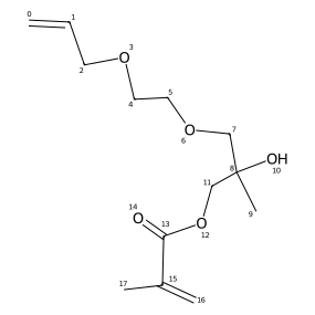 C=CCOCCOCC(C)(O)COC(=O)C(=C)C